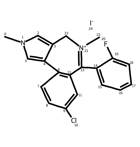 Cn1cc2c(c1)-c1ccc(Cl)cc1C(c1ccccc1F)=[N+](C)C2.[I-]